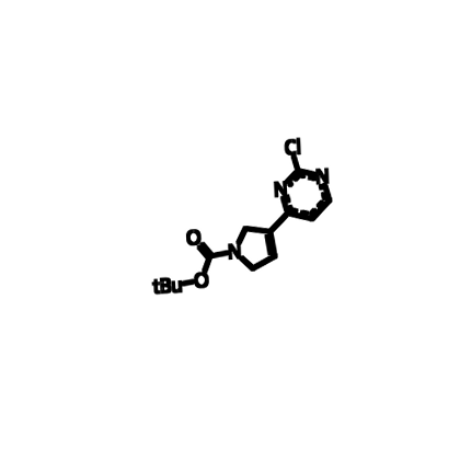 CC(C)(C)OC(=O)N1CC=C(c2ccnc(Cl)n2)C1